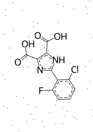 O=C(O)c1nc(-c2c(F)cccc2Cl)[nH]c1C(=O)O